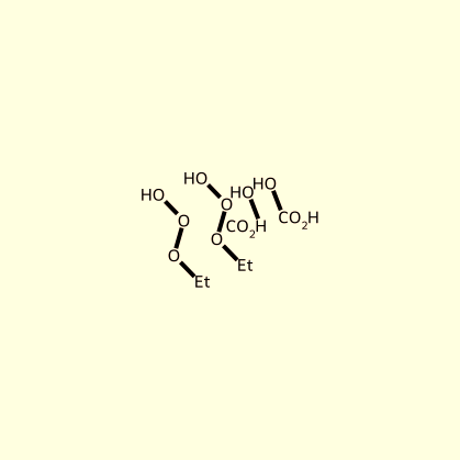 CCOOO.CCOOO.O=C(O)O.O=C(O)O